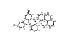 Fc1ccc2c(c1)-c1cc(F)cc3c1B2c1ccccc1N3c1ccc2ccc3cccc4ccc1c2c34